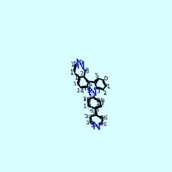 c1ccc2c(c1)c1c3cnccc3ccc1n2-c1ccc(-c2ccncc2)cc1